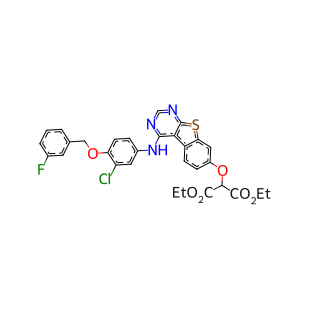 CCOC(=O)C(Oc1ccc2c(c1)sc1ncnc(Nc3ccc(OCc4cccc(F)c4)c(Cl)c3)c12)C(=O)OCC